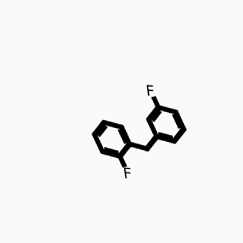 Fc1cccc(Cc2ccccc2F)c1